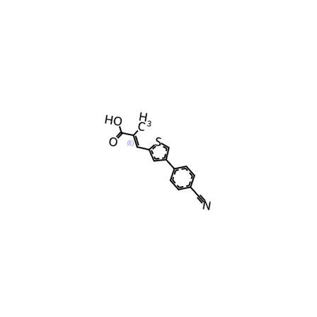 C/C(=C\c1cc(-c2ccc(C#N)cc2)cs1)C(=O)O